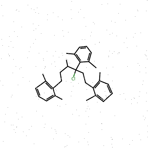 Cc1cccc(C)c1CCC(C)C(Cl)(CCc1c(C)cccc1C)c1c(C)cccc1C